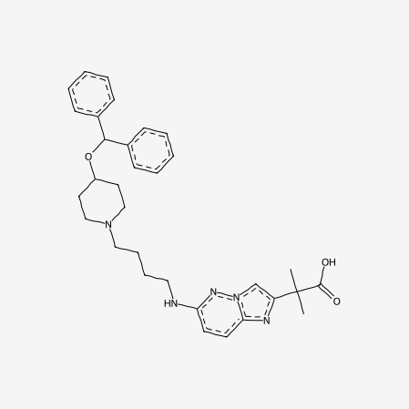 CC(C)(C(=O)O)c1cn2nc(NCCCCN3CCC(OC(c4ccccc4)c4ccccc4)CC3)ccc2n1